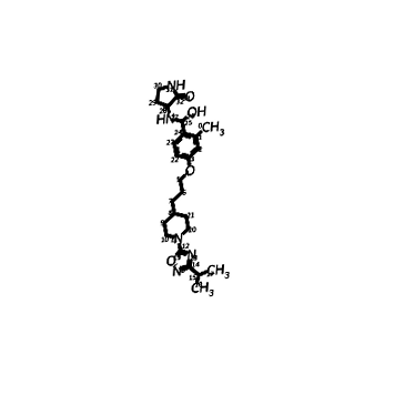 Cc1cc(OCCCC2CCN(c3nc(C(C)C)no3)CC2)ccc1C(O)N[C@H]1CCNC1=O